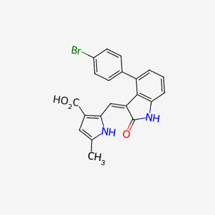 Cc1cc(C(=O)O)c(C=C2C(=O)Nc3cccc(-c4ccc(Br)cc4)c32)[nH]1